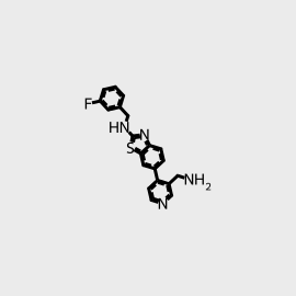 NCc1cnccc1-c1ccc2nc(NCc3cccc(F)c3)sc2c1